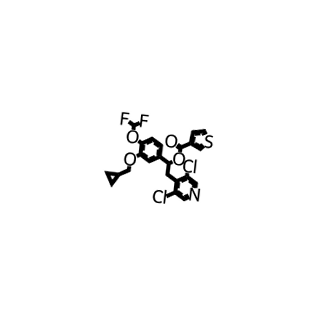 O=C(OC(Cc1c(Cl)cncc1Cl)c1ccc(OC(F)F)c(OCC2CC2)c1)c1ccsc1